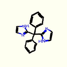 c1ccc(C(c2ccccc2)(c2ncc[nH]2)c2ncc[nH]2)cc1